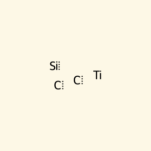 [C].[C].[Si].[Ti]